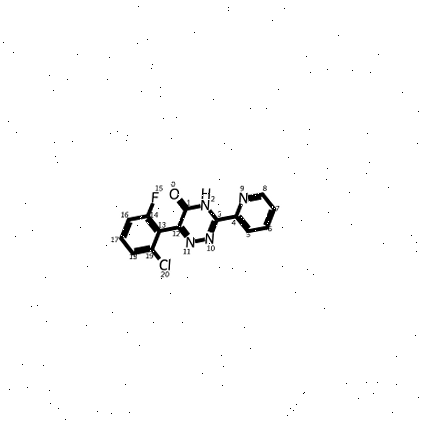 O=c1[nH]c(-c2ccccn2)nnc1-c1c(F)cccc1Cl